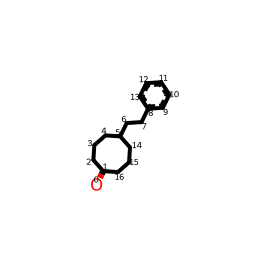 O=C1CCCC(CCc2ccccc2)CCC1